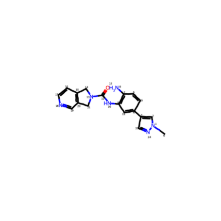 Cn1cc(-c2ccc(N)c(NC(=O)N3Cc4ccncc4C3)c2)cn1